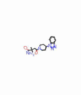 CC(C)(CC(=O)N1CCC(n2nnc3ccccc32)CC1)C(N)=O